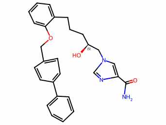 NC(=O)c1cn(C[C@@H](O)CCCc2ccccc2OCc2ccc(-c3ccccc3)cc2)cn1